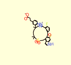 COC(=O)CCc1cccc(C2(C)CCCC(C)(C)CS(=O)(=O)CCc3c(c(F)cc4[nH]ccc34)C(=O)c3ccc(F)c(c3)-c3nc2nn3C)c1